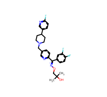 CC(C)(O)CO/N=C(\c1ccc(F)c(F)c1)c1ccc(CN2CCC(c3ccc(F)nc3)CC2)cn1